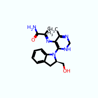 CC1=NCNC(N2c3ccccc3C[C@@H]2CO)=C1/N=C(\C)C(N)=O